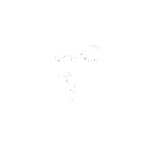 COc1cc(OC)cc(-c2cc(CCCNC(=O)[C@@H](C)Cc3ccc(OC(C)(C)C)cc3)c(/C=C3\SC(=S)N(C4CC5CCC4C5)C3=O)o2)c1